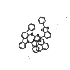 c1ccc(-c2nc(-c3cccc4nc(-c5ccccc5)oc34)nc(-n3c4ccccc4c4ccc5c6ccccc6n(-c6cc7ccc8cccc9ccc(c6)c7c89)c5c43)n2)cc1